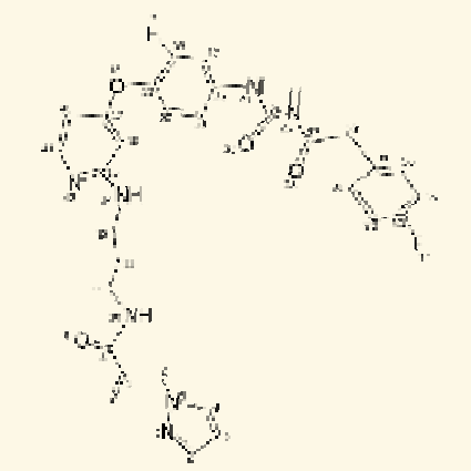 C=C(Cn1cccn1)C(=O)NCCCNc1cc(Oc2ccc(NC(=O)NC(=O)Cc3ccc(F)cc3)cc2F)ccn1